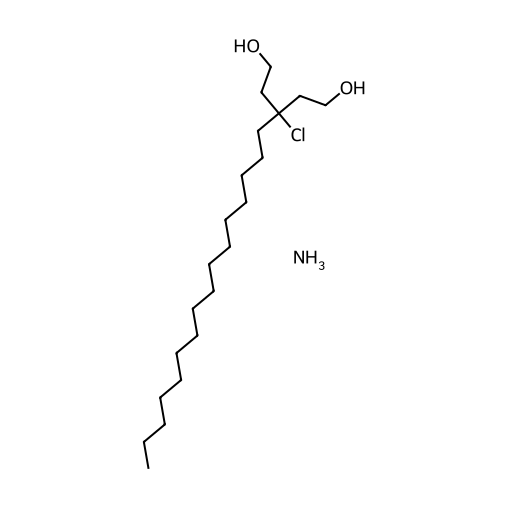 CCCCCCCCCCCCCCCCC(Cl)(CCO)CCO.N